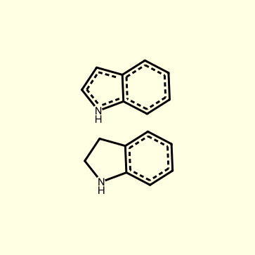 c1ccc2[nH]ccc2c1.c1ccc2c(c1)CCN2